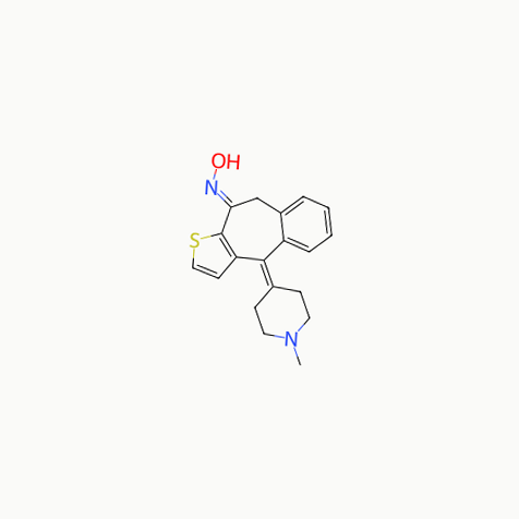 CN1CCC(=C2c3ccccc3CC(=NO)c3sccc32)CC1